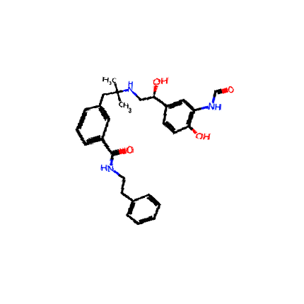 CC(C)(Cc1cccc(C(=O)NCCc2ccccc2)c1)NC[C@@H](O)c1ccc(O)c(NC=O)c1